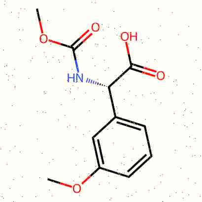 COC(=O)N[C@H](C(=O)O)c1cccc(OC)c1